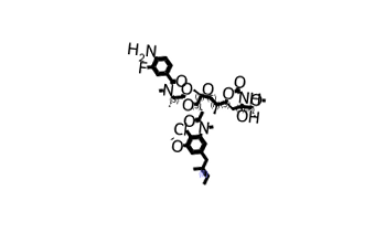 C/C=C(\C)Cc1cc(OC)c(Cl)c(N(C)C(=O)C[C@H](OC(=O)[C@H](C)N(C)C(=O)c2ccc(N)c(F)c2)[C@]2(C)O[C@H]2[C@H](C)[C@@H]2C[C@](O)([C@@H](C)OC)NC(=O)O2)c1